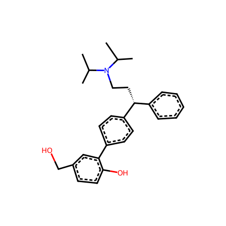 CC(C)N(CC[C@H](c1ccccc1)c1ccc(-c2cc(CO)ccc2O)cc1)C(C)C